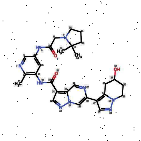 Cc1ncc(NC(=O)CN2CCCC2(C)C)cc1NC(=O)c1cnn2cc(-c3cnn4c3CC(O)CC4)ncc12